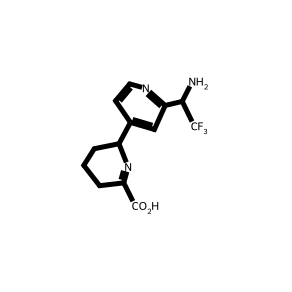 NC(c1cc(C2CCCC(C(=O)O)=N2)ccn1)C(F)(F)F